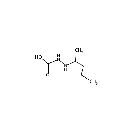 CCCC(C)NNC(=O)O